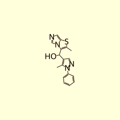 Cc1sc2cncn2c1C(O)c1cnn(-c2ccccc2)c1C